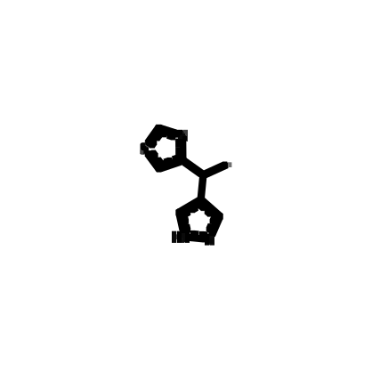 [CH2]C(c1cn[nH]c1)c1cscn1